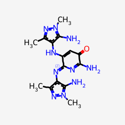 Cc1nn(C)c(N)c1/N=C1\N=C(N)C(=O)C=C1Nc1c(C)nn(C)c1N